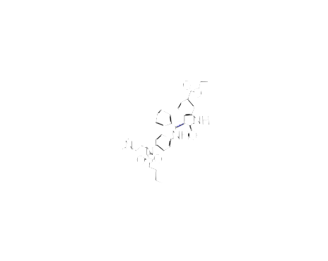 CCCCS(=O)(=O)N(CCN(C)C)c1ccc(N/C(=C2\C(=O)Nc3cc(C(=O)OCC)ccc32)c2ccccc2)cc1